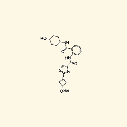 COC1CN(c2nc(C(=O)Nc3ccccc3C(=O)NC3CCC(O)CC3)cs2)C1